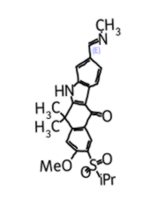 C/N=C/c1ccc2c3c([nH]c2c1)C(C)(C)c1cc(OC)c(S(=O)(=O)C(C)C)cc1C3=O